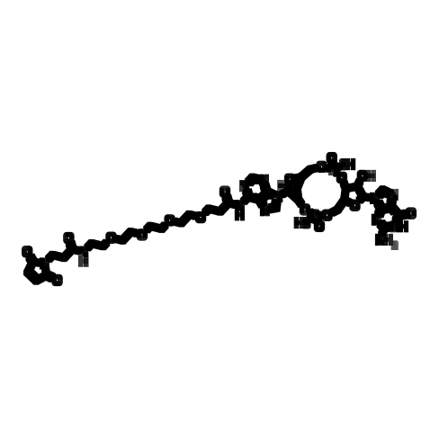 Nc1nc2c(ncn2C2OC3COP(=O)(S)OC4C(O)C(COP(=O)(S)OC3C2O)OC4n2cnc3c(NC(=O)CCOCCOCCOCCOCCNC(=O)CCN4C(=O)C=CC4=O)ncnc32)c(=O)[nH]1